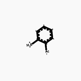 Bc1ccccc1C(C)=O